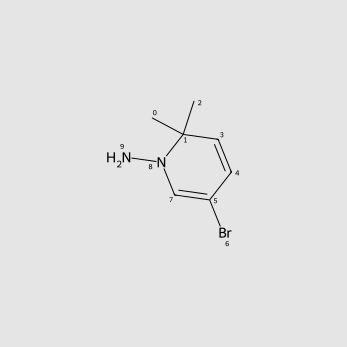 CC1(C)C=CC(Br)=CN1N